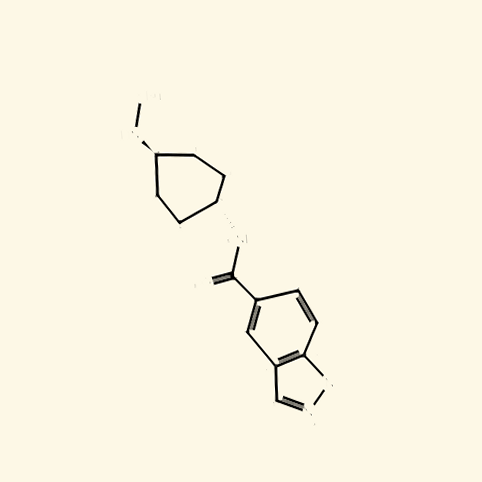 CCCCN[C@H]1CC[C@H](NC(=O)c2ccc3[nH]ncc3c2)CC1